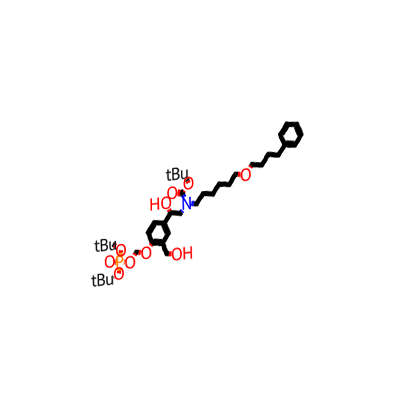 CC(C)(C)OC(=O)N(CCCCCCOCCCCc1ccccc1)CC(O)c1ccc(OCOP(=O)(OC(C)(C)C)OC(C)(C)C)c(CO)c1